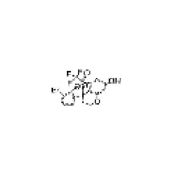 O=C1Cc2c(Br)cccc2C12CCOc1cc(O)cc(S(=O)(=O)C(F)(F)F)c12